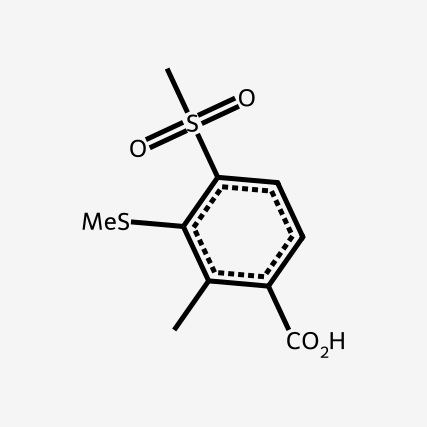 CSc1c(S(C)(=O)=O)ccc(C(=O)O)c1C